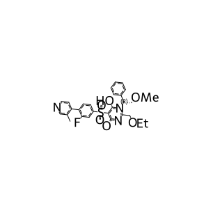 CCOCc1nc(=O)c(S(=O)(=O)c2ccc(-c3ccncc3C)c(F)c2)c(O)n1[C@@H](COC)c1ccccc1